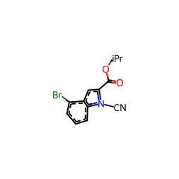 CC(C)OC(=O)c1cc2c(Br)cccc2n1C#N